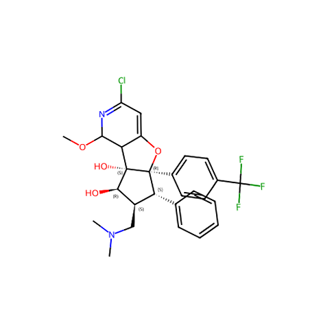 COC1N=C(Cl)C=C2O[C@@]3(c4ccc(C(F)(F)F)cc4)[C@H](c4ccccc4)[C@@H](CN(C)C)[C@@H](O)[C@@]3(O)C21